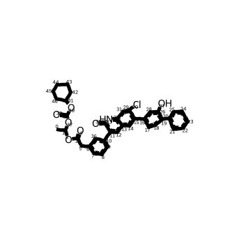 CC(OC(=O)Cc1cccc(-c2cc3cc(-c4ccc(-c5ccccc5)c(O)c4)c(Cl)cc3[nH]c2=O)c1)OC(=O)OC1CCCCC1